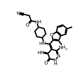 Cc1ccc2oc(/C(NC3CCC(NC(=O)CC#N)CC3)=C3/C(=N)C(=O)NN=C3N)c(C)c2c1